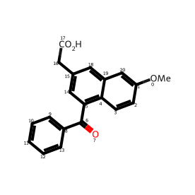 COc1ccc2c(C(=O)c3ccccc3)cc(CC(=O)O)cc2c1